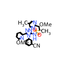 COc1cccc(-c2nnc(NS(=O)(=O)[C@@H](C)[C@H](OC)c3ncc(C)cn3)n2-c2cccc(C#N)c2)n1